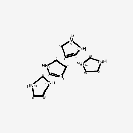 C1=CNNC1.C1=NCCN1.C1CNCN1.C1CNCN1